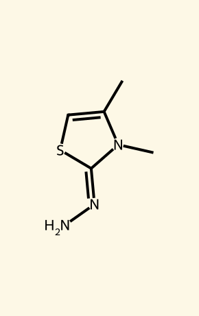 Cc1csc(=NN)n1C